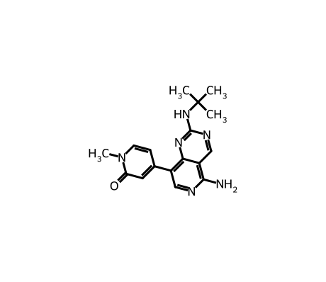 Cn1ccc(-c2cnc(N)c3cnc(NC(C)(C)C)nc23)cc1=O